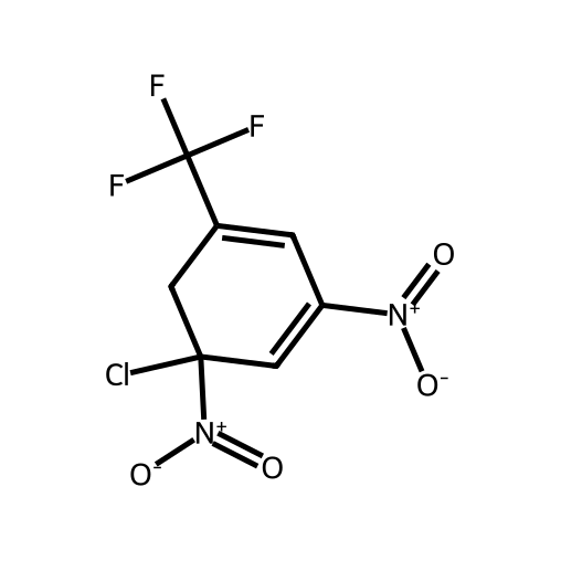 O=[N+]([O-])C1=CC(Cl)([N+](=O)[O-])CC(C(F)(F)F)=C1